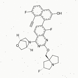 C#Cc1c(F)ccc2cc(O)cc(-c3ccc4c(N5C[C@H]6C[C@@H]5CO6)nc(OC[C@@]56CCCN5C[C@H](F)C6)nc4c3F)c12